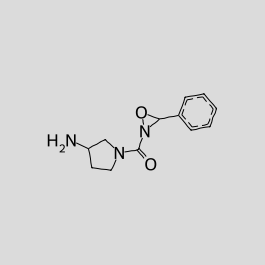 NC1CCN(C(=O)N2OC2c2ccccc2)C1